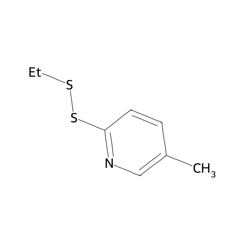 CCSSc1ccc(C)cn1